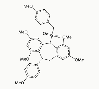 COc1ccc(CS(=O)(=O)C2c3cc(OC)cc(OC)c3[C@@H](c3ccc(OC)cc3)Cc3cc(OC)cc(OC)c32)cc1